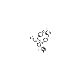 Cc1nnc(-c2cc3nc(CN4CCC(Oc5nc(Cc6ccc(Cl)cc6)ncc5F)CC4)n(C[C@@H]4CCO4)c3cn2)[nH]1